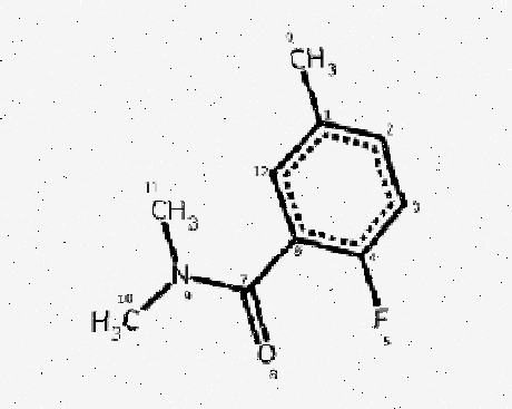 Cc1ccc(F)c(C(=O)N(C)C)c1